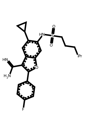 CC(C)CCCS(=O)(=O)Nc1cc2oc(-c3ccc(F)cc3)c(C(=N)N)c2cc1C1CC1